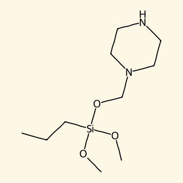 CCC[Si](OC)(OC)OCN1CCNCC1